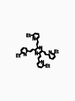 CCc1cccc(C=Cc2nc(C=Cc3cccc(CC)n3)c(C=Cc3cccc(CC)n3)nc2C=Cc2cccc(CC)n2)n1